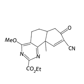 CCOC(=O)c1nc(OC)c2c(n1)C1(C)C=C(C#N)C(=O)CC1CC2